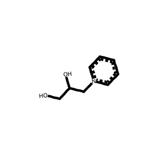 OCC(O)C[n+]1ccccc1